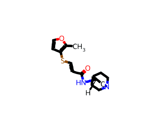 Cc1occc1S/C=C/C(=O)N[C@H]1CN2CCC1CC2